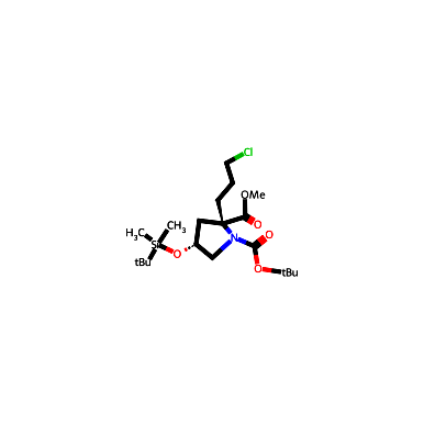 COC(=O)[C@@]1(CCCCl)C[C@@H](O[Si](C)(C)C(C)(C)C)CN1C(=O)OC(C)(C)C